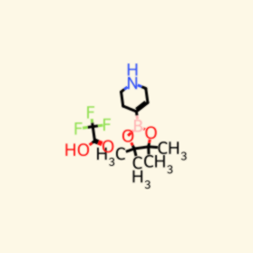 CC1(C)OB(C2=CCNCC2)OC1(C)C.O=C(O)C(F)(F)F